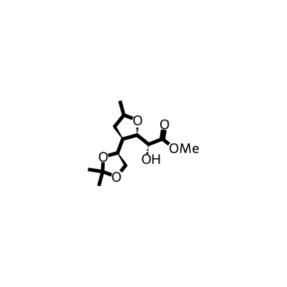 COC(=O)[C@H](O)[C@H]1OC(C)C[C@@H]1[C@H]1COC(C)(C)O1